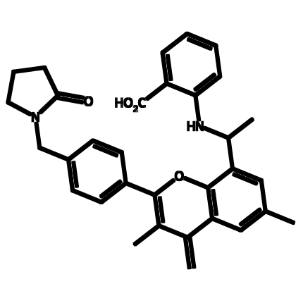 C=C1C(C)=C(c2ccc(CN3CCCC3=O)cc2)Oc2c1cc(C)cc2C(C)Nc1ccccc1C(=O)O